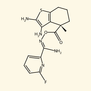 C[C@]1(C(=O)O/N=C(\N)c2cccc(F)n2)CCCc2sc(N)c(N)c21